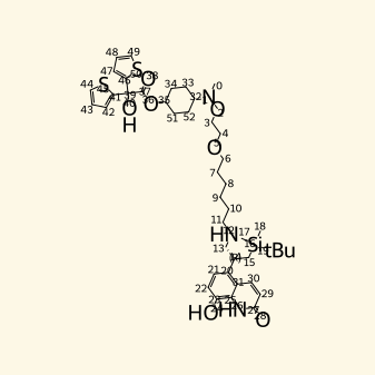 CN(OCCOCCCCCCNC[C@H](C[Si](C)(C)C(C)(C)C)c1ccc(O)c2[nH]c(=O)ccc12)[C@H]1CC[C@H](OC(=O)C(O)(c2cccs2)c2cccs2)CC1